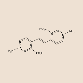 Nc1ccc(C=Cc2ccc(N)cc2C(=O)O)c(C(=O)O)c1